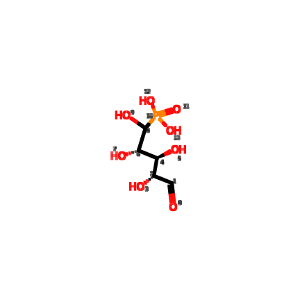 O=C[C@H](O)[C@H](O)[C@H](O)C(O)P(=O)(O)O